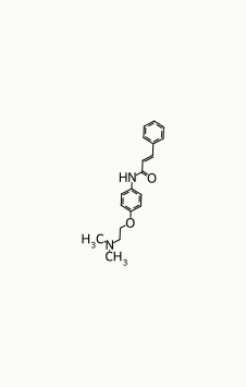 CN(C)CCOc1ccc(NC(=O)C=Cc2ccccc2)cc1